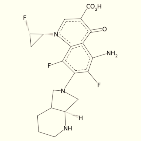 Nc1c(F)c(N2CC3CCCN[C@@H]3C2)c(F)c2c1c(=O)c(C(=O)O)cn2[C@@H]1C[C@@H]1F